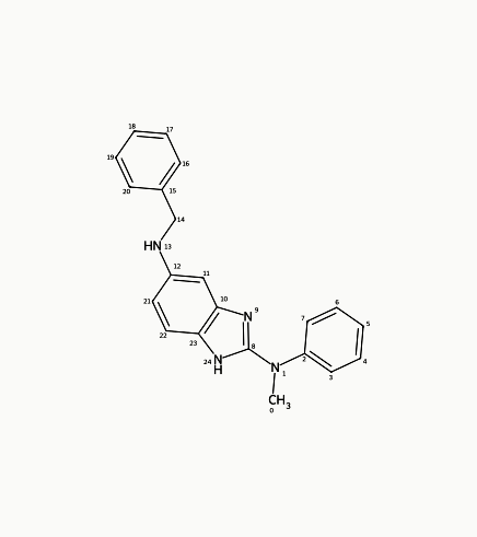 CN(c1ccccc1)c1nc2cc(NCc3ccccc3)ccc2[nH]1